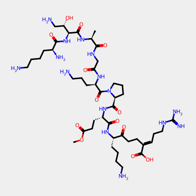 COC(=O)CC[C@H](NC(=O)[C@@H]1CCCN1C(=O)[C@@H](CCCN)NC(=O)CNC(=O)[C@H](C)NC(=O)[C@@H](NC(=O)[C@@H](N)CCCCN)[C@@H](O)CN)C(=O)N[C@@H](CCCCN)C(=O)CC/C(=C\CCNC(=N)N)C(=O)O